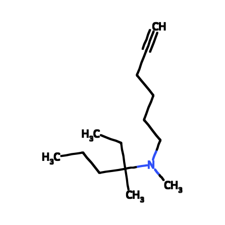 C#CCCCCN(C)C(C)(CC)CCC